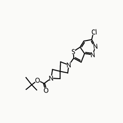 CC(C)(C)OC(=O)N1CC2(C1)CN(c1cc3nnc(Cl)cc3s1)C2